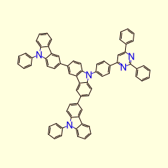 c1ccc(-c2cc(-c3ccc(-n4c5ccc(-c6ccc7c(c6)c6ccccc6n7-c6ccccc6)cc5c5cc(-c6ccc7c(c6)c6ccccc6n7-c6ccccc6)ccc54)cc3)nc(-c3ccccc3)n2)cc1